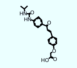 CC(C)NC(=O)Nc1ccc(C(=O)/C=C/c2ccc(OCC(=O)O)cc2)cc1